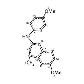 COc1ccc(Nc2cc(C(F)(F)F)c3cc(OC)ccc3n2)cc1